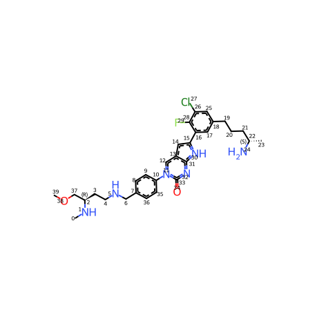 CN[C@H](CCNCc1ccc(-n2cc3cc(-c4cc(CCC[C@H](C)N)cc(Cl)c4F)[nH]c3nc2=O)cc1)COC